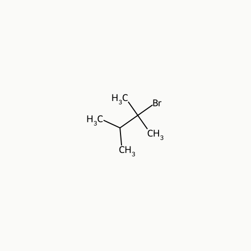 CC(C)C(C)(C)Br